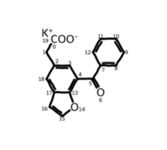 O=C([O-])Cc1cc(C(=O)c2ccccc2)c2occc2c1.[K+]